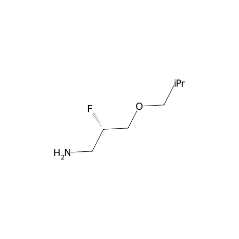 CC(C)COC[C@@H](F)CN